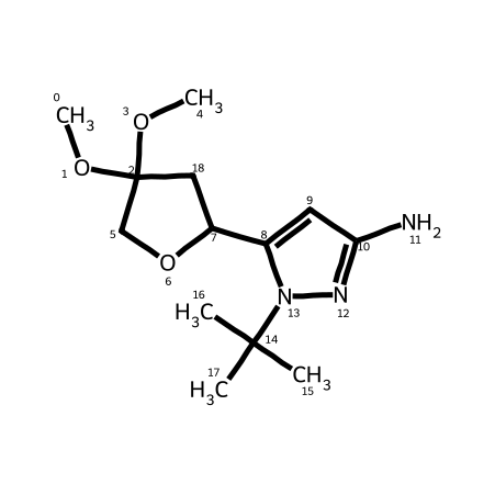 COC1(OC)COC(c2cc(N)nn2C(C)(C)C)C1